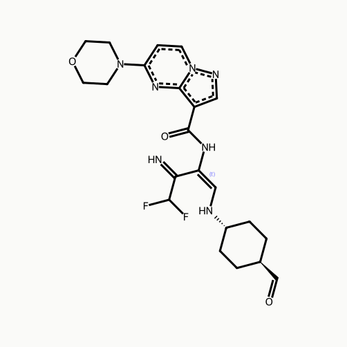 N=C(/C(=C\N[C@H]1CC[C@H](C=O)CC1)NC(=O)c1cnn2ccc(N3CCOCC3)nc12)C(F)F